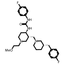 COCCN1CC[C@@H](NC(=O)Nc2ccc(F)cc2)[C@H](CN2CCC[C@@H](Cc3ccc(F)cc3)C2)C1